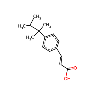 CC(C)C(C)(C)c1ccc(/C=C/C(=O)O)cc1